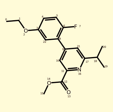 CCOc1ccc(F)c(-c2cc(C(=O)OC)nc(C(C)C)c2)c1